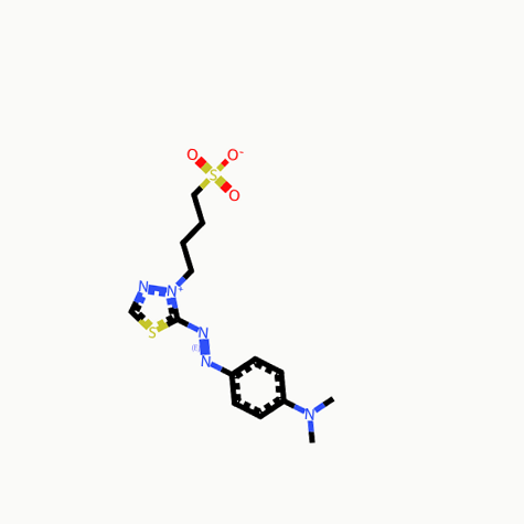 CN(C)c1ccc(/N=N/c2scn[n+]2CCCCS(=O)(=O)[O-])cc1